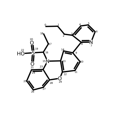 CCCc1cccnc1-c1ccc2c(c1)N(C(CC)S(=O)(=O)O)c1ccccc1O2